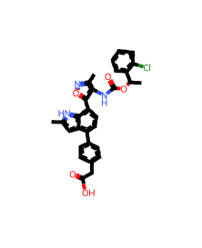 Cc1cc2c(-c3ccc(CC(=O)O)cc3)ccc(-c3onc(C)c3NC(=O)OC(C)c3ccccc3Cl)c2[nH]1